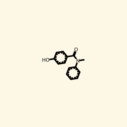 CN(C(=O)c1ccc(O)cc1)c1ccccc1